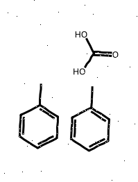 Cc1ccccc1.Cc1ccccc1.O=C(O)O